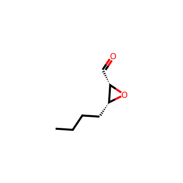 CCCC[C@H]1O[C@H]1C=O